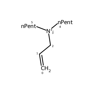 C=CC[N+](CCCCC)CCCCC